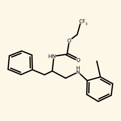 Cc1ccccc1NCC(Cc1ccccc1)NC(=O)OCC(F)(F)F